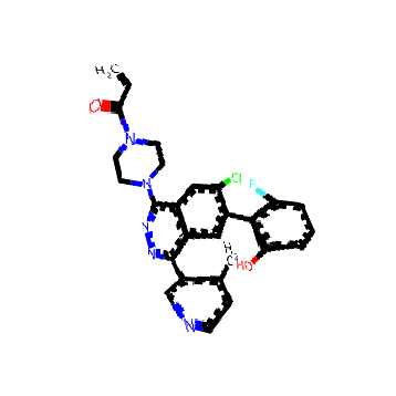 C=CC(=O)N1CCN(c2nnc(-c3cnccc3C)c3cc(-c4c(O)cccc4F)c(Cl)cc23)CC1